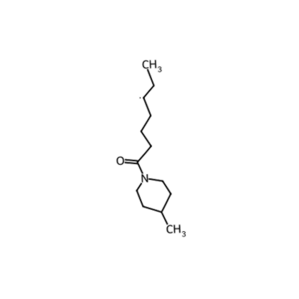 CC[CH]CCCC(=O)N1CCC(C)CC1